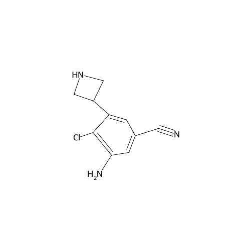 N#Cc1cc(N)c(Cl)c(C2CNC2)c1